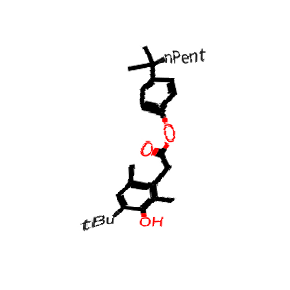 CCCCCC(C)(C)c1ccc(OC(=O)Cc2c(C)cc(C(C)(C)C)c(O)c2C)cc1